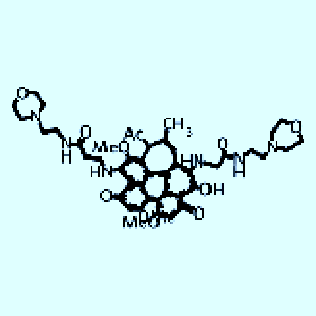 COc1c(NCCC(=O)NCCN2CCOCC2)c2c(=O)cc(OC)c3c4c(OC)cc(=O)c5c(O)c(NCC(=O)NCCN6CCOCC6)c6c(c(c1C(C(C)=O)C(C)=C6)c23)c54